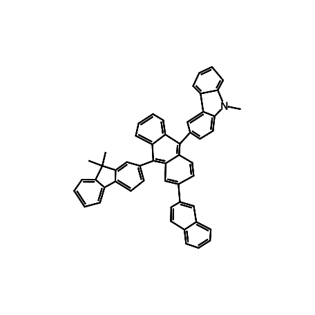 Cn1c2ccccc2c2cc(-c3c4ccccc4c(-c4ccc5c(c4)C(C)(C)c4ccccc4-5)c4cc(-c5ccc6ccccc6c5)ccc34)ccc21